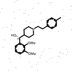 COc1cccc([C@H](O)C2CCN(CCc3ccc(C)cc3)CC2)c1OC